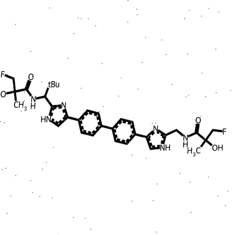 CC(O)(CF)C(=O)NCc1nc(-c2ccc(-c3ccc(-c4c[nH]c(C(NC(=O)C(C)(O)CF)C(C)(C)C)n4)cc3)cc2)c[nH]1